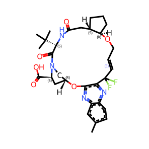 Cc1ccc2nc3c(nc2c1)O[C@@H]1C[C@@H](C(=O)O)N(C1)C(=O)[C@H](C(C)(C)C)NC(=O)C[C@@H]1CCC[C@H]1OC/C=C/C3(F)F